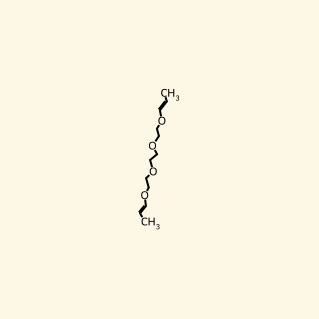 C/C=C/OCCOCCOCCO/C=C/C